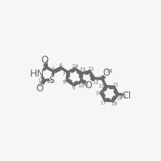 O=C1NC(=O)/C(=C/c2ccc3oc(C(=O)c4cccc(Cl)c4)cc3c2)S1